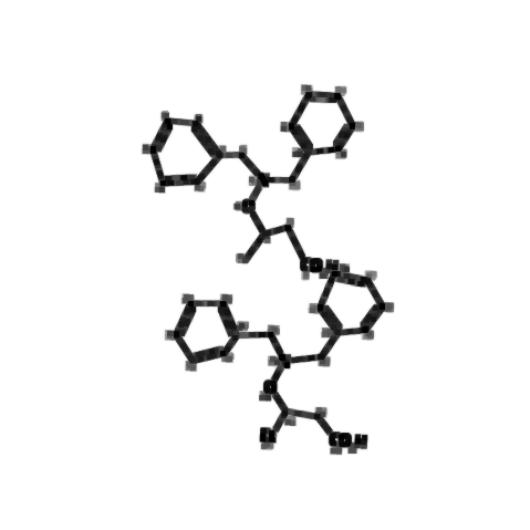 CC(CC(=O)O)ON(Cc1ccccc1)Cc1ccccc1.CCC(CC(=O)O)ON(Cc1ccccc1)Cc1ccccc1